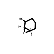 OC1CCC[C@H]2O[C@@H]12